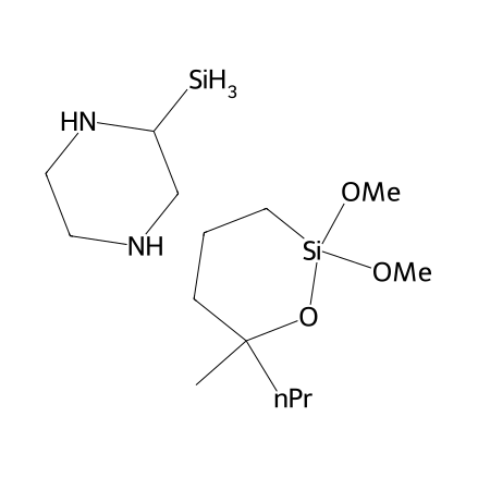 CCCC1(C)CCC[Si](OC)(OC)O1.[SiH3]C1CNCCN1